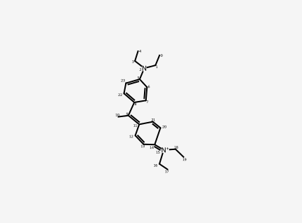 CCN(CC)c1ccc(C(C)=C2C=CC(=[N+](CC)CC)C=C2)cc1